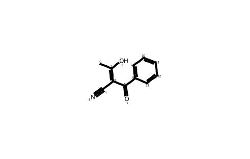 CC(O)=C(C#N)C(=O)c1ccccc1